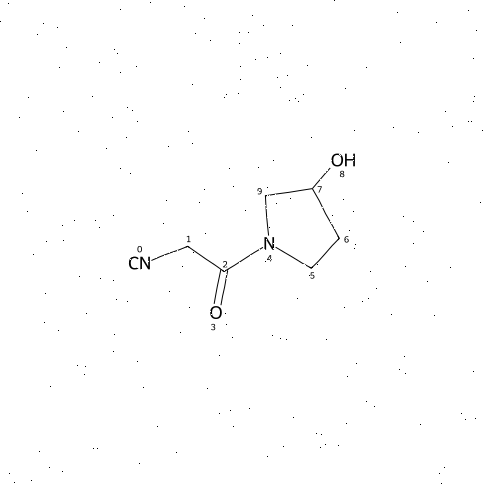 [C-]#[N+]CC(=O)N1CCC(O)C1